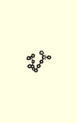 C1=CCCC(c2cc(-c3ccc(-c4ccc(-c5cccc6c5-c5cc(C7=CC=C(n8c9ccccc9c9ccccc98)C7)c7ccccc7c5C6)cc4)cc3)nc(-c3ccccc3)n2)=C1